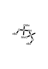 CCCCO[Si](C)(N[Si](C)(OC)OCCCC)OC